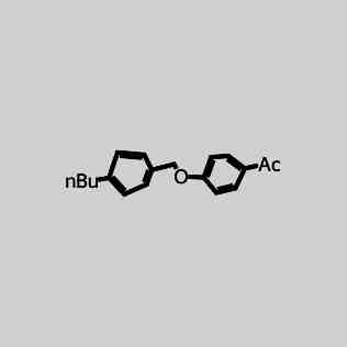 CCCCc1ccc(COc2ccc(C(C)=O)cc2)cc1